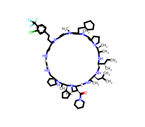 CC[C@H](C)[C@H]1CN[C@@H](CC(C)C)C(C)NCC2[C@@H](C(=O)N3CCCCC3)C(C)N2[C@@H](C2CCCC2)C(C)NC2(CCCC2)CNCCNC=CC(CCc2ccc(C(F)(F)F)c(Cl)c2)=NC=CN(C)C=C(CC2CCCCC2)N(C)C=C2CCCN2[C@@H](C)C(C)N1